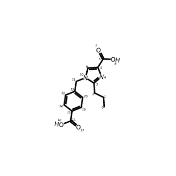 CCCc1nc(C(=O)O)cn1Cc1ccc(C(=O)O)cc1